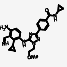 COCCn1nc(-c2ccc(C(=O)NC3CC3)cc2)nc1Nc1ccc(N)c(C=N)c1C1CC1